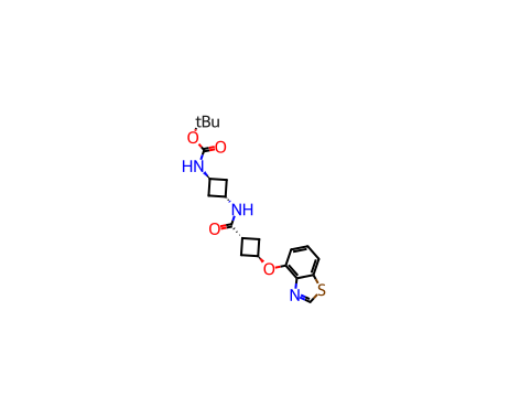 CC(C)(C)OC(=O)N[C@H]1C[C@H](NC(=O)[C@H]2C[C@H](Oc3cccc4scnc34)C2)C1